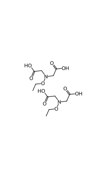 CCON(CC(=O)O)CC(=O)O.CCON(CC(=O)O)CC(=O)O